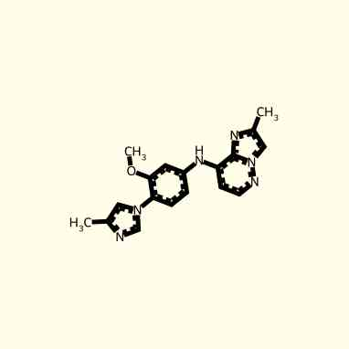 COc1cc(Nc2ccnn3cc(C)nc23)ccc1-n1cnc(C)c1